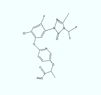 COC(=O)C(C)Oc1ccc(Oc2cc(-n3nc(C)n(C(F)F)c3=O)c(F)cc2Cl)nc1